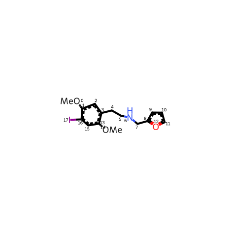 COc1cc(CCNCc2ccco2)c(OC)cc1I